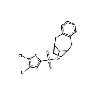 O=S(=O)(NC1C2CCC1Cc1ccccc1C2)c1cc(Br)c(Cl)s1